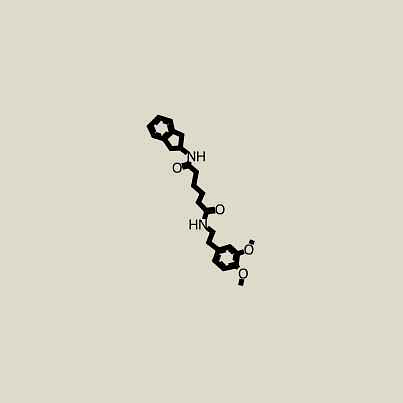 COc1ccc(CCNC(=O)CCCCC(=O)NC2Cc3ccccc3C2)cc1OC